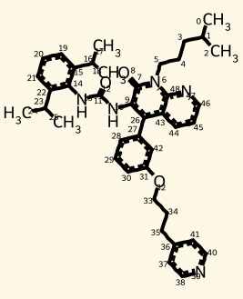 CC(C)CCCn1c(=O)c(NC(=O)Nc2c(C(C)C)cccc2C(C)C)c(-c2cccc(OCCCc3ccncc3)c2)c2cccnc21